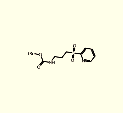 CC(C)(C)OC(=O)NCCCS(=O)(=O)c1ccccn1